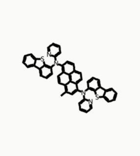 Cc1cc(N(c2ccccn2)c2cccc3c2sc2ccccc23)c2ccc3ccc(N(c4ccccn4)c4cccc5c4sc4ccccc45)c4ccc1c2c34